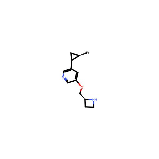 CC[C@@H]1CC1c1cncc(OC[C@@H]2CCN2)c1